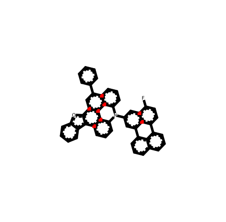 Fc1ccc(-c2cccc3cccc(-c4cccc(N(c5ccccc5-c5ccc(-c6ccccc6)cc5)c5ccccc5-c5ccc6c(c5)oc5ccccc56)c4)c23)cc1